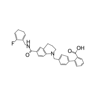 O=C(NCC1=CCCC=C1F)c1ccc2c(c1)CCCN2Cc1ccc(-c2ccccc2C(=O)O)cc1